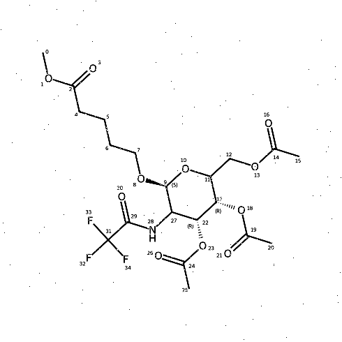 COC(=O)CCCCO[C@H]1OC(COC(C)=O)[C@H](OC(C)=O)[C@H](OC(C)=O)C1NC(=O)C(F)(F)F